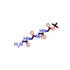 CC(C)(C)OC(=O)CNC(=O)CNC(=O)CNC(=O)CN